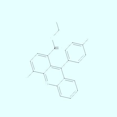 CCOC(=O)c1ccc(F)c2nc3ccccc3c(-c3ccc(Cl)cc3)c12